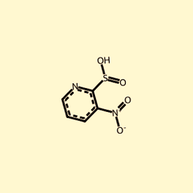 O=[N+]([O-])c1cccnc1S(=O)O